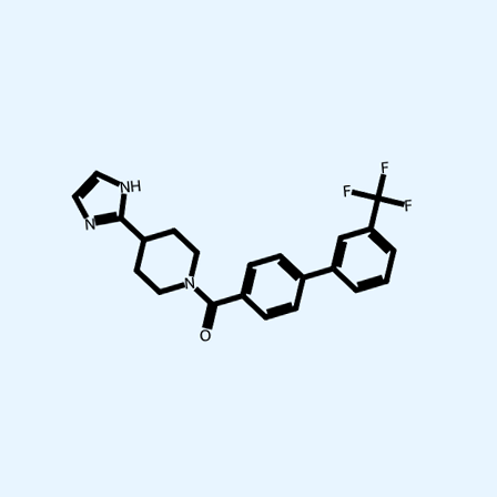 O=C(c1ccc(-c2cccc(C(F)(F)F)c2)cc1)N1CCC(c2ncc[nH]2)CC1